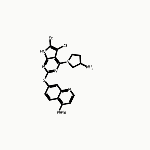 CCc1[nH]c2nc(Sc3ccc4c(NC)ccnc4c3)nc(N3CCC(N)C3)c2c1Cl